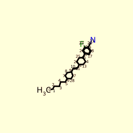 CCCCCCC1CCC(/C=C/C2CCC(c3ccc(C#N)c(F)c3)CC2)CC1